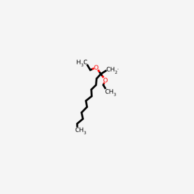 [CH2]C(CCCCCCCCCC)(OCC)OCC